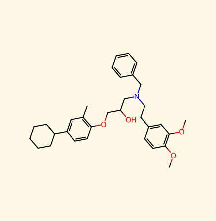 COc1ccc(CCN(Cc2ccccc2)CC(O)COc2ccc(C3CCCCC3)cc2C)cc1OC